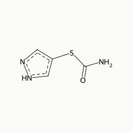 NC(=O)Sc1cn[nH]c1